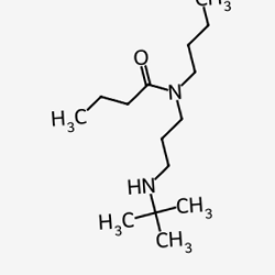 CCCCN(CCCNC(C)(C)C)C(=O)CCC